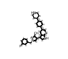 Cc1nn(Cc2cccc(F)c2)cc1-c1c[nH]c2ncc(-c3ccc(C4CCNCC4)cc3)cc12